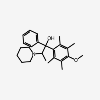 COc1c(C)c(C)c(C(O)(c2ccccc2)C(C)N2CCCCC2)c(C)c1C